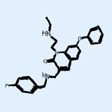 CCNCCn1c(=O)c(CNCc2ccc(F)cc2)cc2ccc(Oc3ccccc3)cc21